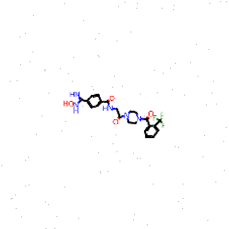 N=C(NO)c1ccc(C(=O)NCC(=O)N2CCN(C(=O)c3ccccc3C(F)(F)F)CC2)cc1